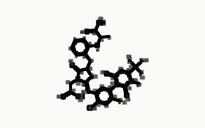 CC(Oc1ccccc1CC1SC(=Nc2cc(-n3c(=O)cc(C(F)(F)F)n(C)c3=O)c(F)cc2Cl)N(CC(=O)O)C1=O)C(=O)O